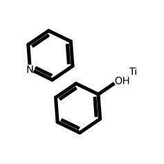 Oc1ccccc1.[Ti].c1ccncc1